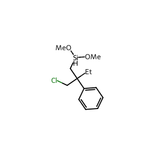 CCC(CCl)(C[SiH](OC)OC)c1ccccc1